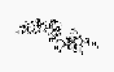 COc1cc(C)c(S(=O)(=O)N(C)CCS(=O)(=O)CC(=O)N(C)[C@@H]2CC[N+]([O-])(C3CC[N+](C)([O-])CC3)C2)c(C)c1